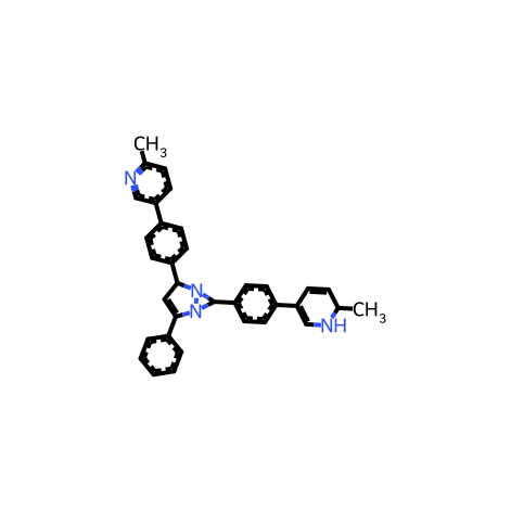 Cc1ccc(-c2ccc(C3C=C(c4ccccc4)N4C(c5ccc(C6=CNC(C)C=C6)cc5)N34)cc2)cn1